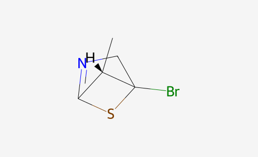 C[C@H]1C2=NCC1(Br)S2